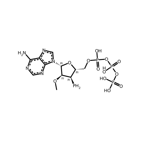 CO[C@@H]1[C@H](P)[C@@H](COP(=O)(O)OP(=O)(O)OP(=O)(O)O)O[C@H]1n1cnc2c(N)ncnc21